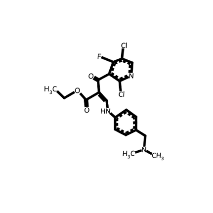 CCOC(=O)C(=CNc1ccc(CN(C)C)cc1)C(=O)c1c(Cl)ncc(Cl)c1F